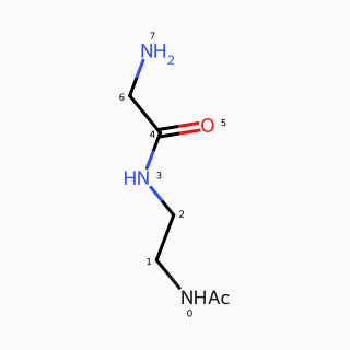 CC(=O)NCCNC(=O)CN